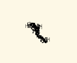 CC(C)(C)OC(=O)NC1CC2(CCN(CC3CCN(c4cc(F)c(NC5CCC(=O)NC5=O)cc4F)CC3)CC2)C1